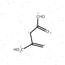 C=C(CC(=O)C=O)C(=O)O